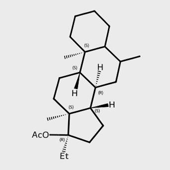 CC[C@@]1(OC(C)=O)CC[C@H]2[C@@H]3CC(C)C4CCCC[C@]4(C)[C@H]3CC[C@@]21C